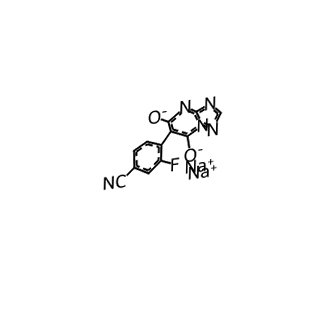 N#Cc1ccc(-c2c([O-])nc3ncnn3c2[O-])c(F)c1.[Na+].[Na+]